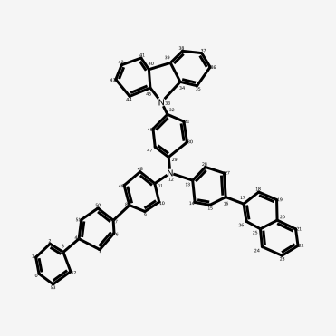 c1ccc(-c2ccc(-c3ccc(N(c4ccc(-c5ccc6ccccc6c5)cc4)c4ccc(-n5c6ccccc6c6ccccc65)cc4)cc3)cc2)cc1